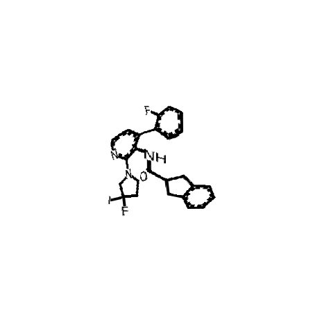 O=C(Nc1c(-c2ccccc2F)ccnc1N1CCC(F)(I)C1)C1Cc2ccccc2C1